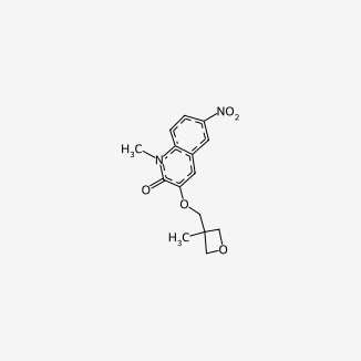 Cn1c(=O)c(OCC2(C)COC2)cc2cc([N+](=O)[O-])ccc21